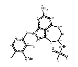 COc1c(C)cnc(Cn2nc3c4c(nc(N)nc42)SCC(NS(C)(=O)=O)C3)c1C